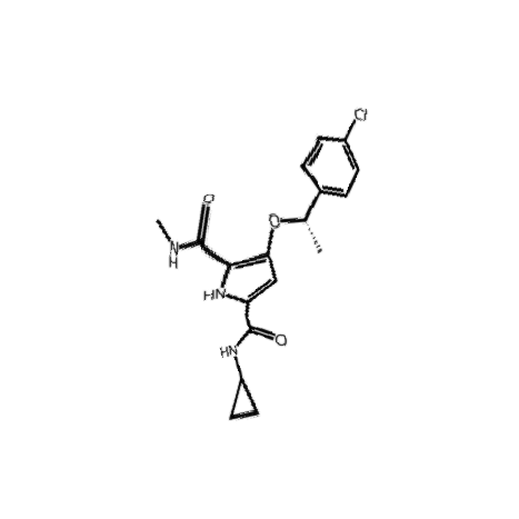 CNC(=O)c1[nH]c(C(=O)NC2CC2)cc1O[C@@H](C)c1ccc(Cl)cc1